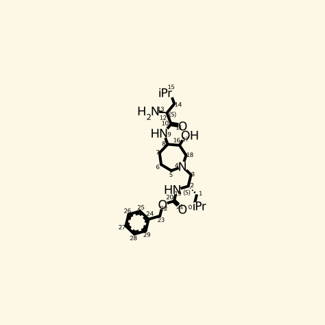 CC(C)C[C@@H](CN1CCCC(NC(=O)[C@@H](N)CC(C)C)C(O)C1)NC(=O)OCc1ccccc1